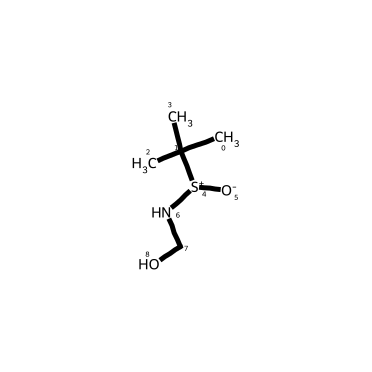 CC(C)(C)[S+]([O-])NCO